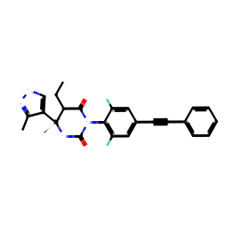 CCC1C(=O)N(c2c(F)cc(C#Cc3ccccc3)cc2F)C(=O)N[C@]1(C)c1c[nH]nc1C